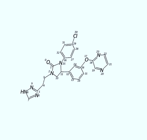 O=C1N(CCc2nc[nH]n2)CC(c2cccc(Oc3cnccn3)c2)N1c1ccc(Cl)cc1